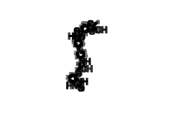 CC(Oc1ccc(S(=O)(=O)Nc2ccc(N3CCC(NC[C@H](O)COc4cccc5[nH]c(=O)[nH]c45)CC3)cc2)cc1)C(=O)O